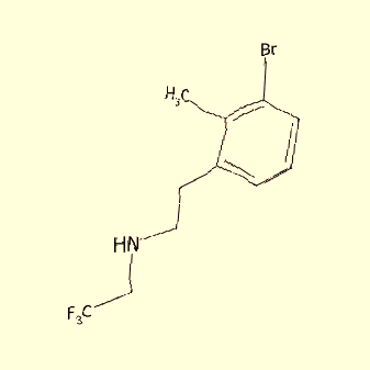 Cc1c(Br)cccc1CCNCC(F)(F)F